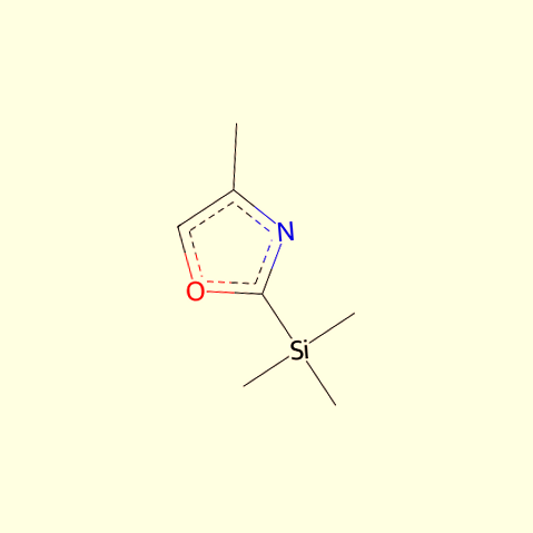 Cc1coc([Si](C)(C)C)n1